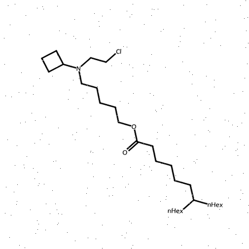 CCCCCCC(CCCCCC)CCCCCC(=O)OCCCCCN(CCCl)C1CCC1